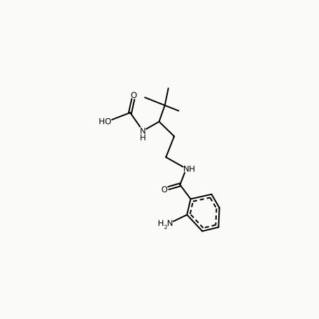 CC(C)(C)C(CCNC(=O)c1ccccc1N)NC(=O)O